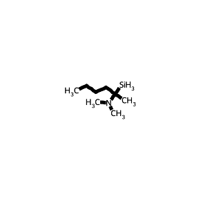 CCCCC(C)([SiH3])N(C)C